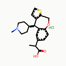 CC(C(=O)O)c1ccc2c(c1)C(=C1CCN(C)CC1)c1ccsc1CO2.Cl